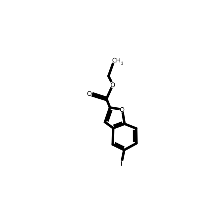 CCOC(=O)c1cc2cc(I)ccc2o1